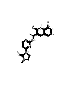 C[C@H](Nc1nccc(N2CCN(C)C2=O)n1)c1cc2cccc(Cl)c2[nH]c1=O